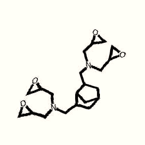 C1OC1CN(CC1CO1)CC1CC2CC(CN(CC3CO3)CC3CO3)C1C2